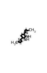 Cc1ccc(C2=CC=C(c3ccc(C)s3)C(=N)C2=N)s1